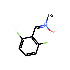 CC(C)(C)[N+]([O-])=Cc1c(F)cccc1F